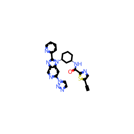 C#Cc1cnc(C(=O)N[C@H]2CCC[C@@H](n3c(-c4ccccn4)nc4cnc(-n5ccnn5)cc43)C2)s1